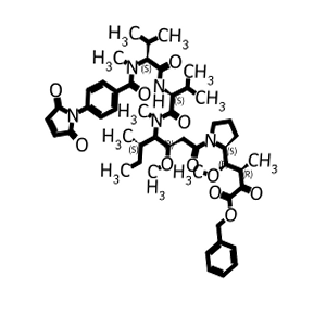 CC[C@H](C)C([C@@H](CC(=O)N1CCC[C@H]1[C@H](OC)[C@@H](C)C(=O)C(=O)OCc1ccccc1)OC)N(C)C(=O)[C@@H](NC(=O)[C@H](C(C)C)N(C)C(=O)c1ccc(N2C(=O)C=CC2=O)cc1)C(C)C